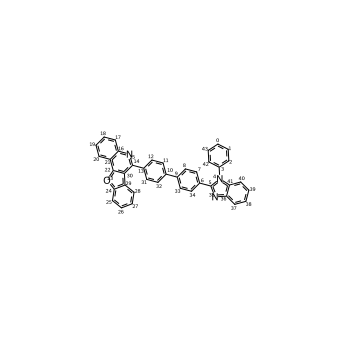 c1ccc(-n2c(-c3ccc(-c4ccc(-c5nc6ccccc6c6oc7ccccc7c56)cc4)cc3)nc3ccccc32)cc1